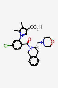 Cc1c(C(=O)O)cn(-c2cc(Cl)ccc2C(=O)N2Cc3ccccc3C[C@H]2CN2CCOCC2)c1C